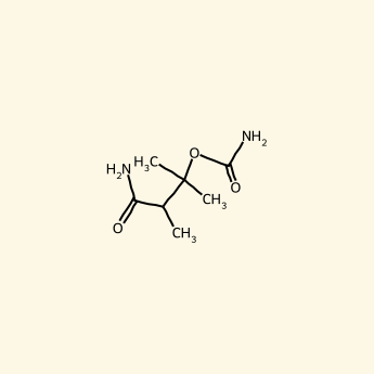 CC(C(N)=O)C(C)(C)OC(N)=O